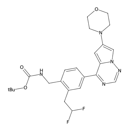 CC(C)(C)OC(=O)NCc1ccc(-c2ncnn3cc(N4CCOCC4)cc23)cc1CC(F)F